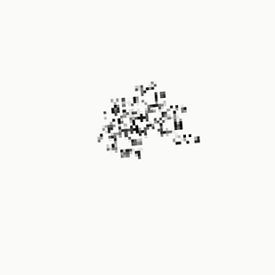 COc1nccc(-c2nnc(NS(=O)(=O)[C@@H](C)[C@H](C)c3ncc(F)cn3)n2-c2c(OC)cccc2OC)n1